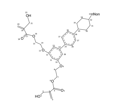 C=C(CO)C(=O)OCCOc1cc(OCCOC(=O)C(=C)CO)cc(-c2ccc(C3CCC(CCCCCCCCC)CC3)cc2)c1